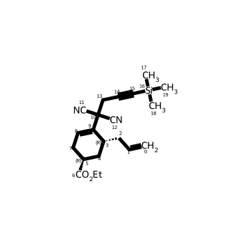 C=CC[C@@H]1C[C@@H](C(=O)OCC)CC=C1C(C#N)(C#N)CC#C[Si](C)(C)C